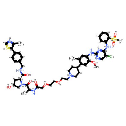 Cc1cc(Nc2ncc(Cl)c(Nc3ccccc3S(=O)(=O)C(C)C)n2)c(OC(C)C)cc1C1CCN(CCOCCOCC(=O)NC(C(=O)N2C[C@H](O)C[C@H]2C(=O)NCc2ccc(-c3scnc3C)cc2)C(C)(C)C)CC1